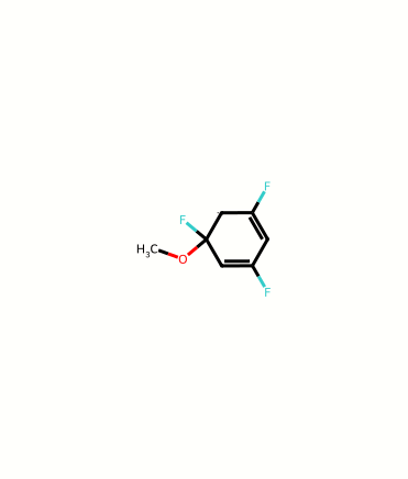 COC1(F)[CH]C(F)=CC(F)=C1